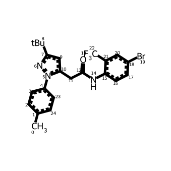 Cc1ccc(-n2nc(C(C)(C)C)cc2CC(=O)Nc2ccc(Br)cc2C(F)(F)F)cc1